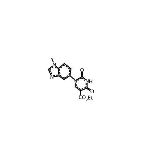 CCOC(=O)c1cn(-c2ccc3c(c2)ncn3C)c(=O)[nH]c1=O